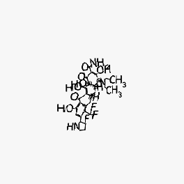 CCN(CC)[C@@H]1C(O)=C(C(N)=O)C(=O)[C@@]2(O)C(O)=C3C(=O)c4c(O)cc(C5CCCN5)c(C(F)(F)F)c4C[C@H]3C[C@@H]12